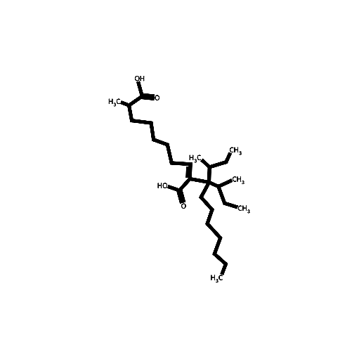 CCCCCCCC(C(=CCCCCCC(C)C(=O)O)C(=O)O)(C(C)CC)C(C)CC